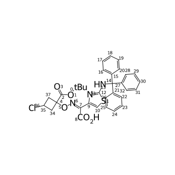 CC(C)(C)OC(=O)C1(ON=C(C(=O)O)c2csc(NC(c3ccccc3)(c3ccccc3)c3ccccc3)n2)CC(Cl)C1